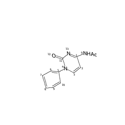 CC(=O)Nc1ccn(-c2ccccc2)c(=O)n1